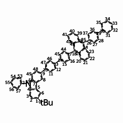 CC(C)(C)c1ccc2c(c1)c1cc(-c3ccc(-c4ccc(-c5c6ccccc6c(-c6ccc(-c7ccccc7)cc6)c6ccccc56)cc4)cc3)ccc1n2-c1ccccc1